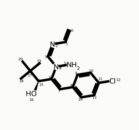 C=C/N=C\N(N)C(=Cc1ccc(Cl)cc1)[C@@H](O)C(C)(C)C